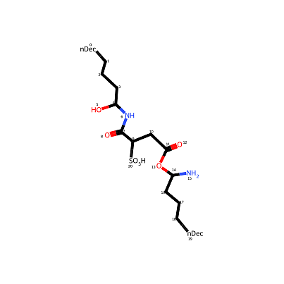 CCCCCCCCCCCCCC(O)NC(=O)C(CC(=O)OC(N)CCCCCCCCCCCCC)S(=O)(=O)O